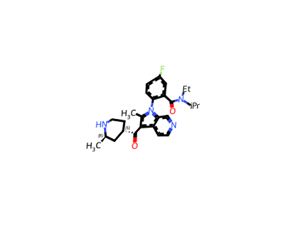 CCN(C(=O)c1cc(F)ccc1-n1c(C)c(C(=O)[C@H]2CCN[C@H](C)C2)c2ccncc21)C(C)C